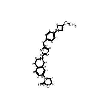 COC1CN(c2ccc(Cc3cnc(N4CCc5ccc(N6CCOC6=O)cc5C4)s3)cc2)C1